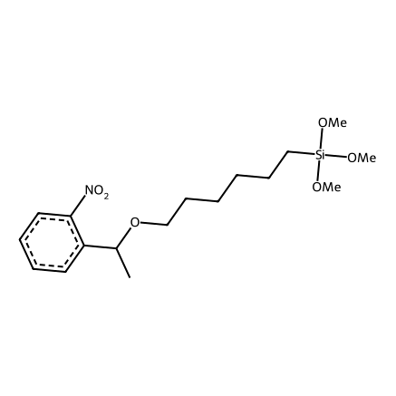 CO[Si](CCCCCCOC(C)c1ccccc1[N+](=O)[O-])(OC)OC